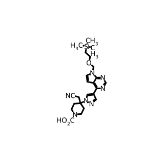 C[Si](C)(C)CCOCn1ccc2c(-c3cnn(C4(CC#N)CCN(C(=O)O)CC4)c3)ncnc21